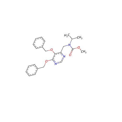 COC(=O)N(Cc1ncnc(OCc2ccccc2)c1OCc1ccccc1)C(C)C